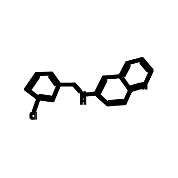 Clc1cccc(CNc2ccc3ncccc3c2)c1